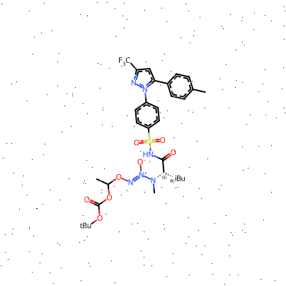 CC[C@@H](C)[C@@H](C(=O)NS(=O)(=O)c1ccc(-n2nc(C(F)(F)F)cc2-c2ccc(C)cc2)cc1)N(C)[N+]([O-])=NOC(C)OC(=O)OC(C)(C)C